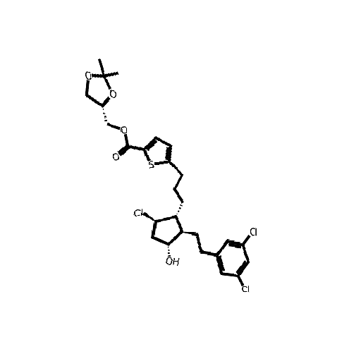 CC1(C)OC[C@@H](COC(=O)c2ccc(CCC[C@@H]3[C@@H](CCc4cc(Cl)cc(Cl)c4)[C@H](O)C[C@H]3Cl)s2)O1